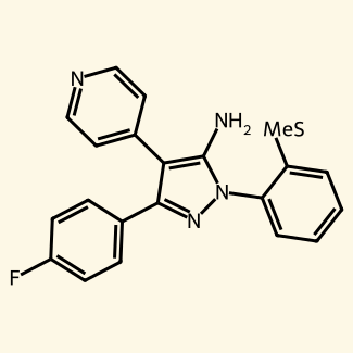 CSc1ccccc1-n1nc(-c2ccc(F)cc2)c(-c2ccncc2)c1N